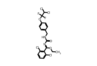 CCOC(=NC(=O)NCc1ccc(OC(F)(F)C(Cl)Cl)cc1)c1c(Cl)cccc1Cl